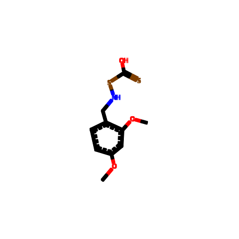 COc1ccc(CNSC(O)=S)c(OC)c1